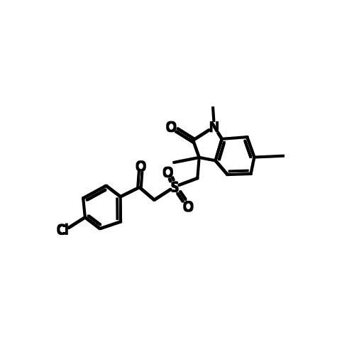 Cc1ccc2c(c1)N(C)C(=O)C2(C)CS(=O)(=O)CC(=O)c1ccc(Cl)cc1